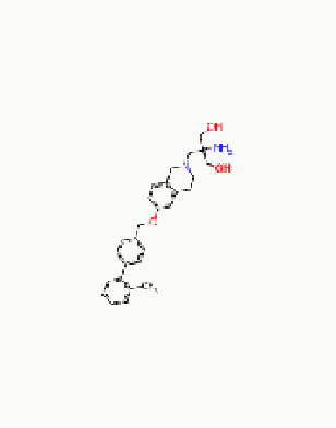 NC(CO)(CO)CN1CCc2cc(OCc3ccc(-c4ccccc4C(F)(F)F)cc3)ccc2C1